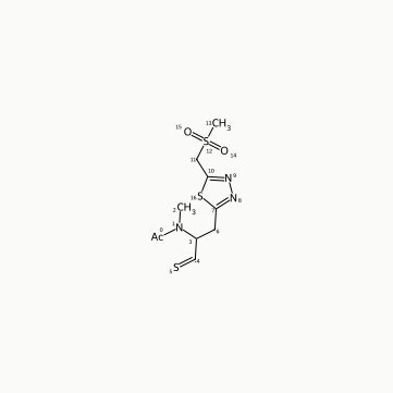 CC(=O)N(C)C([C]=S)Cc1nnc(CS(C)(=O)=O)s1